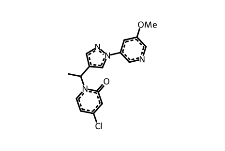 COc1cncc(-n2cc(C(C)n3ccc(Cl)cc3=O)cn2)c1